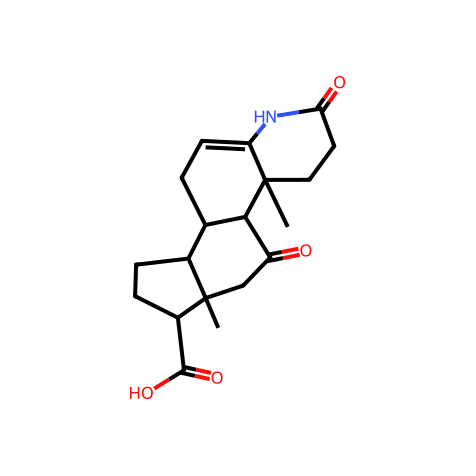 CC12CCC(=O)NC1=CCC1C2C(=O)CC2(C)C(C(=O)O)CCC12